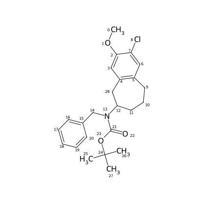 COc1cc2c(cc1Cl)CCCC(N(Cc1ccccc1)C(=O)OC(C)(C)C)C2